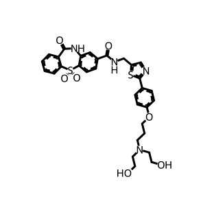 O=C(NCc1cnc(-c2ccc(OCCCN(CCO)CCO)cc2)s1)c1ccc2c(c1)NC(=O)c1ccccc1S2(=O)=O